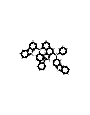 c1ccc(-c2nc3c(N(c4ccccc4)c4ccc5oc6ccccc6c5c4)cc4cccc(N(c5ccccc5)c5cccc6c5sc5ccccc56)c4c3o2)cc1